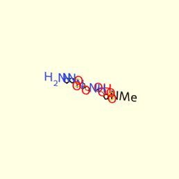 CNS(=O)(=O)c1cccc(OCC(O)CNC2COC3(CCN(S(=O)(=O)c4cnc5nc(N)ccc5c4)CC3)C2)c1